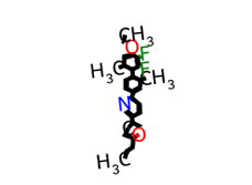 CCCC1CCC(c2ccc(C3=CC(C)C(C4C(F)=C(F)C(OCC)=CC4C)C=C3)nc2)CO1